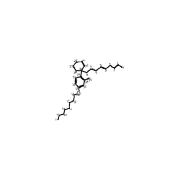 CCCCCCCCCC1(c2ccc(OCCCCCCCC)cc2C)CCCCC1